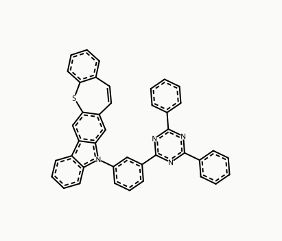 C1=Cc2cc3c(cc2Sc2ccccc21)c1ccccc1n3-c1cccc(-c2nc(-c3ccccc3)nc(-c3ccccc3)n2)c1